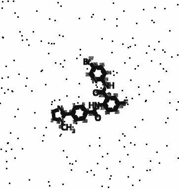 CN1CCN=C1c1ccc(C(=O)Nc2ccc(F)cc2C(=O)Nc2ccc(Br)cn2)cc1